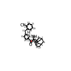 NC(=O)C12CC3CC(C1)C(NC(=O)c1ccc(Cc4ccccc4Cl)[nH]1)C(C3)C2